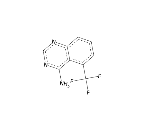 Nc1ncnc2cccc(C(F)(F)F)c12